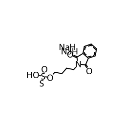 O=C1c2ccccc2C(=O)N1CCCCOS(=O)(O)=S.[NaH].[NaH]